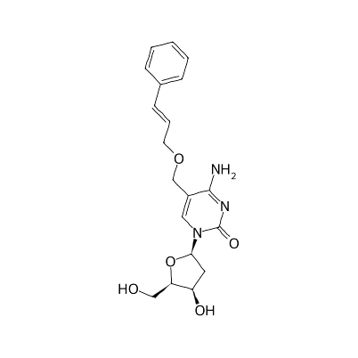 Nc1nc(=O)n([C@H]2C[C@@H](O)[C@@H](CO)O2)cc1COC/C=C/c1ccccc1